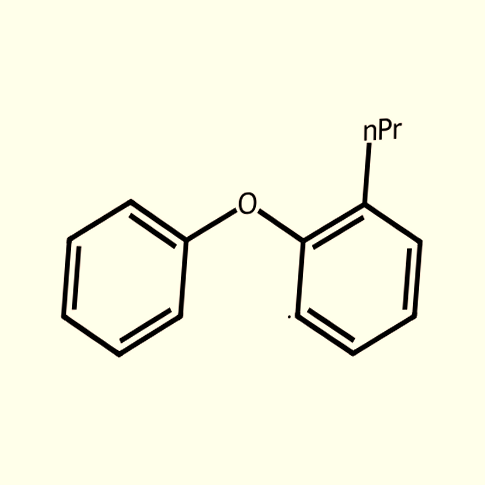 CCCc1ccc[c]c1Oc1ccccc1